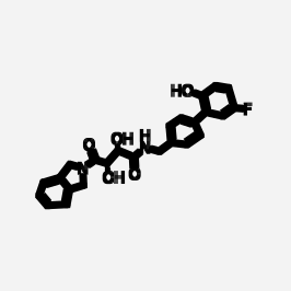 O=C(NCc1ccc(-c2cc(F)ccc2O)cc1)[C@H](O)[C@@H](O)C(=O)N1Cc2ccccc2C1